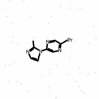 Cc1nccn1-c1cnc(C(C)C)cn1